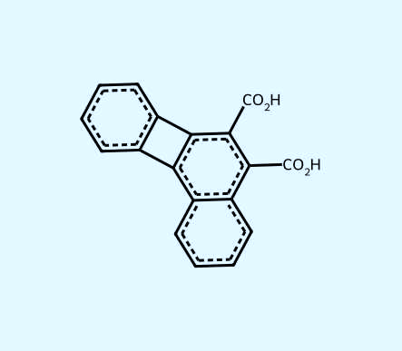 O=C(O)c1c2c(c3ccccc3c1C(=O)O)-c1ccccc1-2